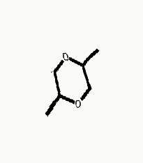 CC1[CH]OC(C)CO1